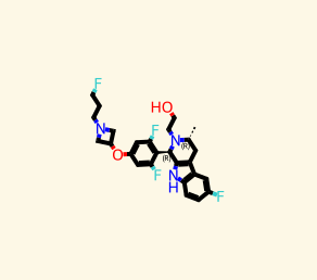 C[C@@H]1Cc2c([nH]c3ccc(F)cc23)[C@@H](c2c(F)cc(OC3CN(CCCF)C3)cc2F)N1CCO